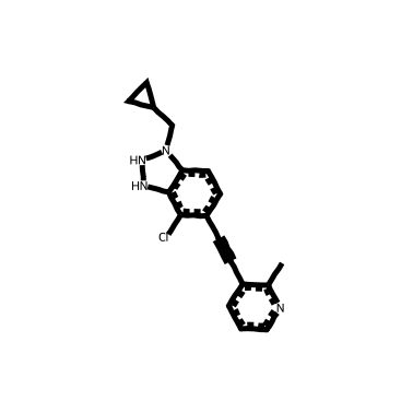 Cc1ncccc1C#Cc1ccc2c(c1Cl)NNN2CC1CC1